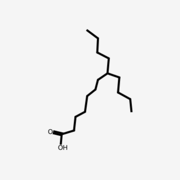 CCCCC(CCCC)CCCCCCC(=O)O